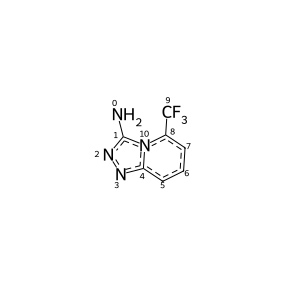 Nc1nnc2cccc(C(F)(F)F)n12